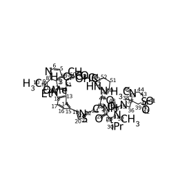 CCn1c(-c2cccnc2[C@H](C)OC)c2c3cc(ccc31)-c1csc(n1)C[C@H](NC(=O)[C@H](C(C)C)N(C)C(=O)N1CC3(C1)CS(=O)(=O)CCN3C)C(=O)N1CCCC(C=O)(COCC(C)(C)C2)N1